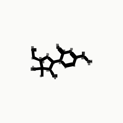 CC1(O)[C@H](O)C(n2ccc(NO)nc2=O)S[C@@H]1CO